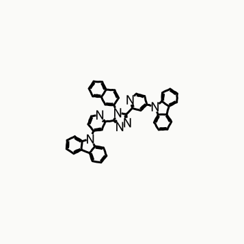 c1ccc2cc(-n3c(-c4cc(-n5c6ccccc6c6ccccc65)ccn4)nnc3-c3cc(-n4c5ccccc5c5ccccc54)ccn3)ccc2c1